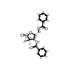 C[C@@]1(F)[C@H](OC(=O)c2ccccc2)[C@@H](COC(=O)c2ccccc2)O[C@@H]1Cl